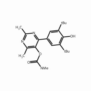 CNC(=O)Oc1c(C)nc(C)nc1-c1cc(C(C)(C)C)c(O)c(C(C)(C)C)c1